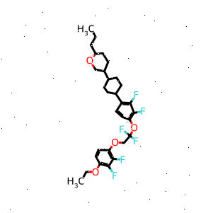 CCCC1CCC(C2CCC(c3ccc(OC(F)(F)COc4ccc(OCC)c(F)c4F)c(F)c3F)CC2)CO1